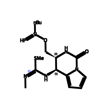 CCCC[Si](=P)OC[C@@H]1NC(=O)n2cccc2[C@H]1N/C(=N\C)SC